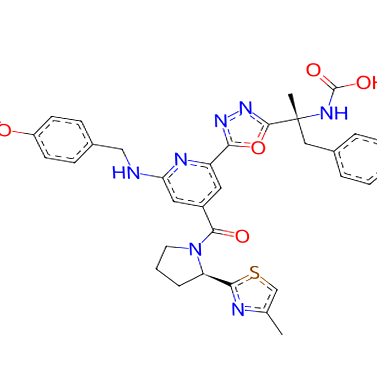 COc1ccc(CNc2cc(C(=O)N3CCC[C@@H]3c3nc(C)cs3)cc(-c3nnc([C@@](C)(Cc4ccccc4)NC(=O)O)o3)n2)cc1